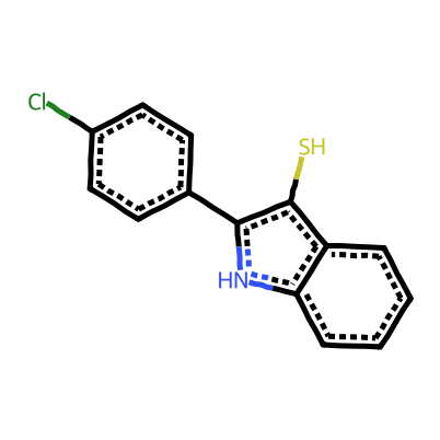 Sc1c(-c2ccc(Cl)cc2)[nH]c2ccccc12